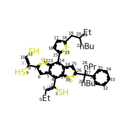 CC/C=C(\S)c1c2cc(/C(S)=C\S)sc2c(-c2ccc(CC(CC)CCCC)s2)c2cc(C(CCC)(CCCC)c3ccccc3)sc12